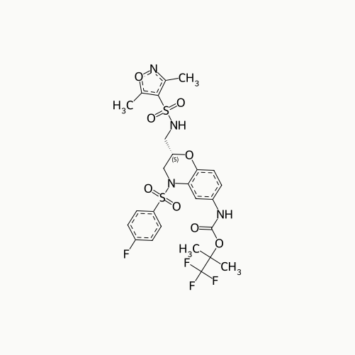 Cc1noc(C)c1S(=O)(=O)NC[C@H]1CN(S(=O)(=O)c2ccc(F)cc2)c2cc(NC(=O)OC(C)(C)C(F)(F)F)ccc2O1